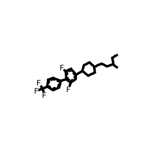 CCC(C)CCC1CCC(c2cc(F)c(-c3ccc(C(F)(F)F)cc3)c(F)c2)CC1